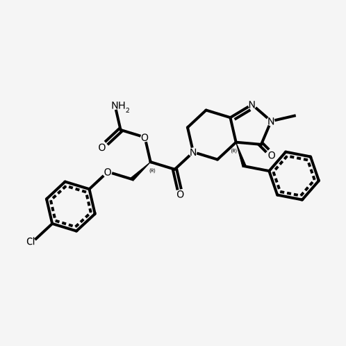 CN1N=C2CCN(C(=O)[C@@H](COc3ccc(Cl)cc3)OC(N)=O)C[C@@]2(Cc2ccccc2)C1=O